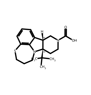 CC(C)(C)[C@]12CCN(C(=O)O)C[C@H]1c1cccc3c1N2CCCS3